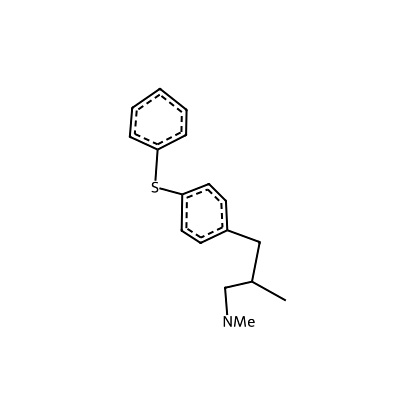 CNCC(C)Cc1ccc(Sc2ccccc2)cc1